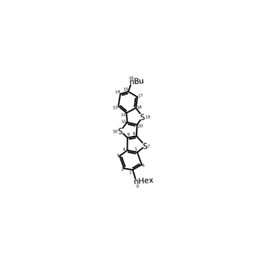 CCCCCCc1ccc2c(c1)sc1c2sc2c3ccc(CCCC)cc3sc21